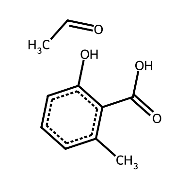 CC=O.Cc1cccc(O)c1C(=O)O